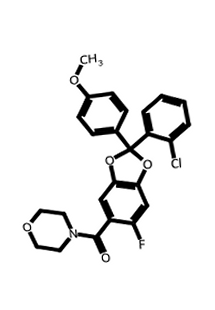 COc1ccc(C2(c3ccccc3Cl)Oc3cc(F)c(C(=O)N4CCOCC4)cc3O2)cc1